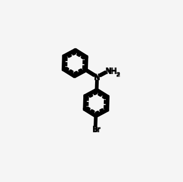 NN(c1ccccc1)c1ccc(Br)cc1